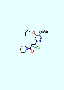 COc1cnc(/C=C/C(=O)N2CCCCC2)cc1OC1CCCC1.Cl